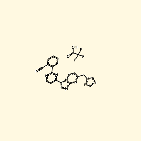 N#Cc1ccccc1-c1nccc(-c2cnc3nc(Cn4cncn4)ccn23)n1.O=C(O)C(F)(F)F